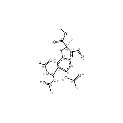 COC(=O)[C@](C)(Cc1ccc(OC(C)=O)c(C(OC(C)=O)OC(C)=O)c1)NC=O